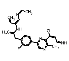 C=C/C(=C\N=C/C)NC(=C)Cc1ccc(-c2cnc(C)c(/C(Cl)=C\C=N)n2)cc1F